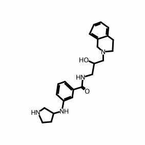 O=C(NCC(O)CN1CCc2ccccc2C1)c1cccc(NC2CCNC2)c1